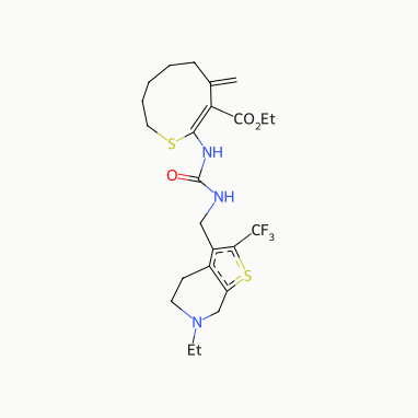 C=C1CCCCCS/C(NC(=O)NCc2c(C(F)(F)F)sc3c2CCN(CC)C3)=C\1C(=O)OCC